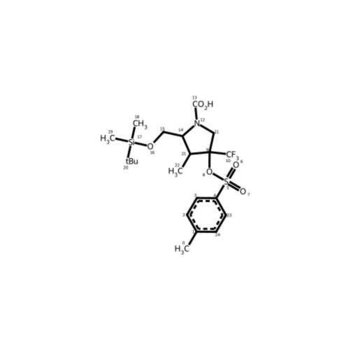 Cc1ccc(S(=O)(=O)OC2(C(F)(F)F)CN(C(=O)O)C(CO[Si](C)(C)C(C)(C)C)C2C)cc1